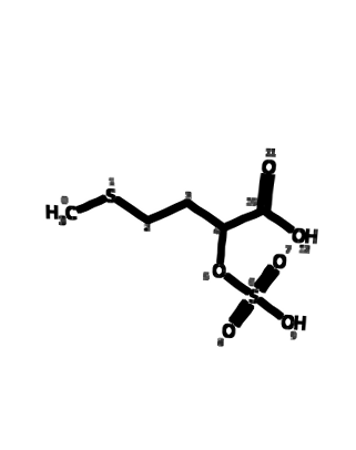 CSCCC(OS(=O)(=O)O)C(=O)O